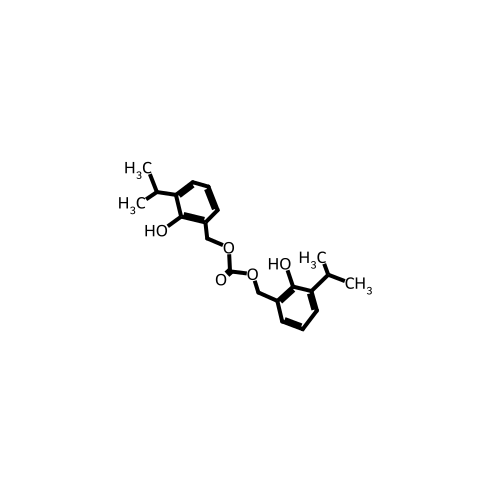 CC(C)c1cccc(COC(=O)OCc2cccc(C(C)C)c2O)c1O